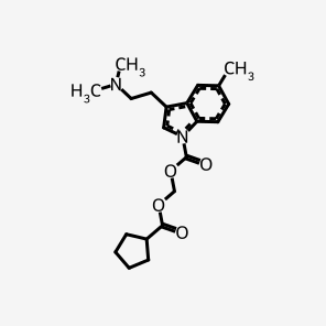 Cc1ccc2c(c1)c(CCN(C)C)cn2C(=O)OCOC(=O)C1CCCC1